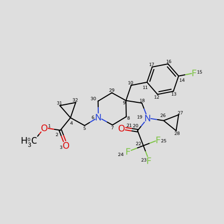 COC(=O)C1(CN2CCC(Cc3ccc(F)cc3)(CN(C(=O)C(F)(F)F)C3CC3)CC2)CC1